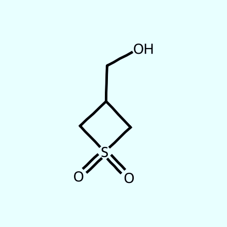 O=S1(=O)CC(CO)C1